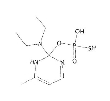 CCN(CC)C1(OP(=O)(O)S)N=CC=C(C)N1